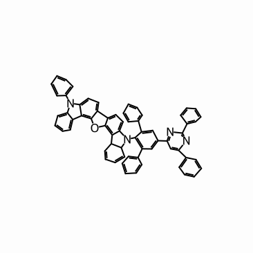 C1=CC2c3c(ccc4c3oc3c4ccc4c3c3ccccc3n4-c3ccccc3)N(c3c(-c4ccccc4)cc(-c4cc(-c5ccccc5)nc(-c5ccccc5)n4)cc3-c3ccccc3)C2C=C1